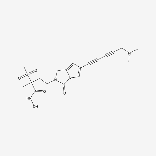 CN(C)CC#CC#Cc1cc2n(c1)C(=O)N(CCC(C)(C(=O)NO)S(C)(=O)=O)C2